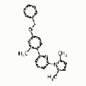 Cc1cc(OCc2ccccc2)ccc1-c1cccc(-n2c(C)ccc2C)n1